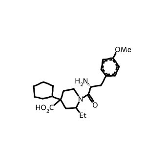 CCC1CC(C(=O)O)(C2CCCCC2)CCN1C(=O)[C@H](N)Cc1ccc(OC)cc1